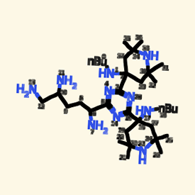 CCCCNC1(c2nc(C(N)CCC(N)CN)nc(C3(NCCCC)CC(C)(C)NC(C)(C)C3)n2)CC(C)(C)NC(C)(C)C1